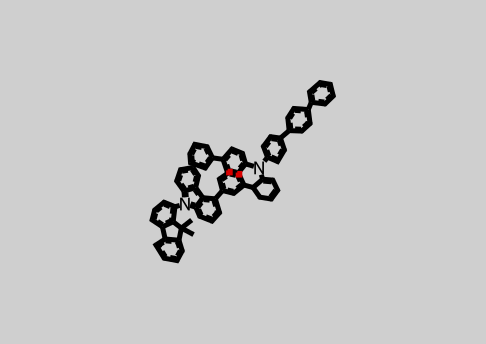 CC1(C)c2ccccc2-c2cccc(-n3c4ccccc4c4c(-c5cccc(C6CC=CC=C6N(c6ccc(-c7ccccc7)cc6)c6ccc(-c7ccc(-c8ccccc8)cc7)cc6)c5)cccc43)c21